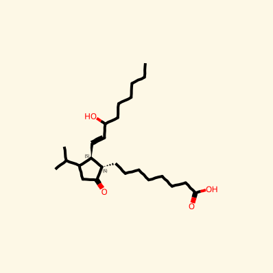 CCCCCCC(O)C=C[C@@H]1C(C(C)C)CC(=O)[C@H]1CCCCCCCC(=O)O